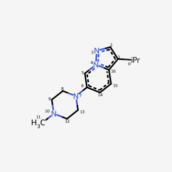 CC(C)c1cnn2cc(N3CCN(C)CC3)ccc12